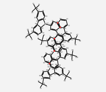 CC(C)(C)c1cc(N(c2cccc(-n3c4ccc(C(C)(C)C)cc4c4cc(C(C)(C)C)ccc43)c2)c2c(-c3ccccc3)cc(C(C)(C)C)cc2-c2ccccc2)cc(N(c2cccc(-n3c4ccc(C(C)(C)C)cc4c4cc(C(C)(C)C)ccc43)c2)c2c(-c3ccccc3)cc(C(C)(C)C)cc2-c2ccccc2)c1